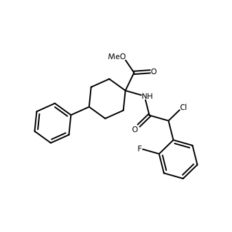 COC(=O)C1(NC(=O)C(Cl)c2ccccc2F)CCC(c2ccccc2)CC1